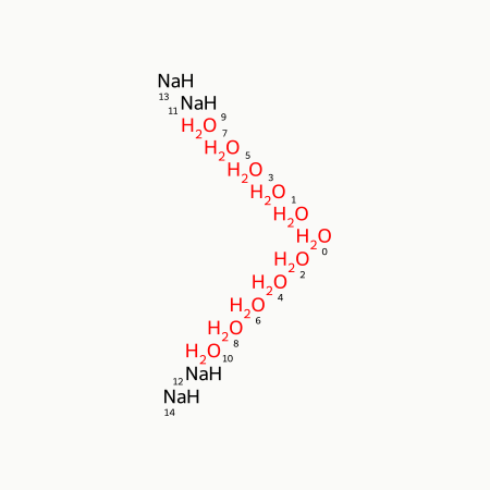 O.O.O.O.O.O.O.O.O.O.O.[NaH].[NaH].[NaH].[NaH]